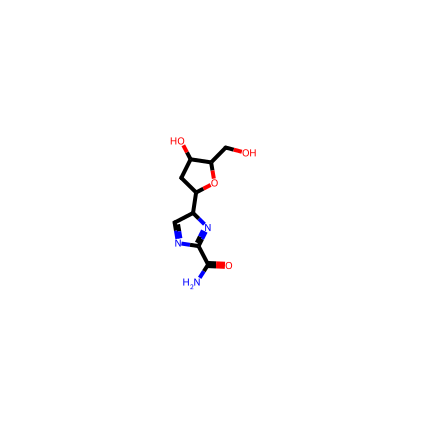 NC(=O)C1=NC(C2CC(O)C(CO)O2)C=N1